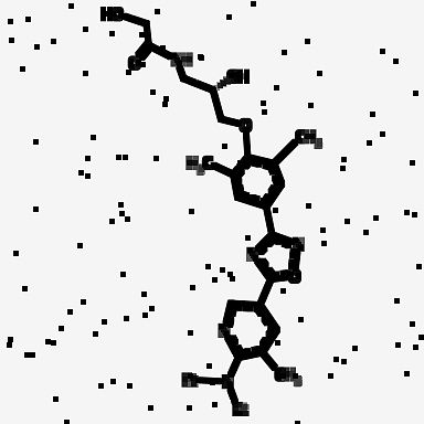 CCN(CC)c1ncc(-c2nc(-c3cc(C)c(OC[C@@H](O)CNC(=O)CO)c(C)c3)no2)cc1C